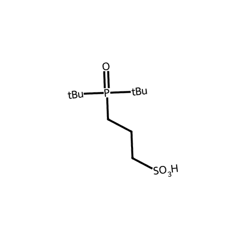 CC(C)(C)P(=O)(CCCS(=O)(=O)O)C(C)(C)C